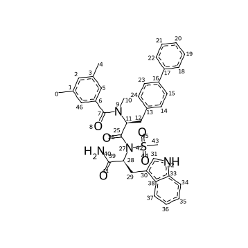 Cc1cc(C)cc(C(=O)N(C)[C@@H](Cc2ccc(-c3ccccc3)cc2)C(=O)N([C@@H](Cc2c[nH]c3ccccc23)C(N)=O)S(C)(=O)=O)c1